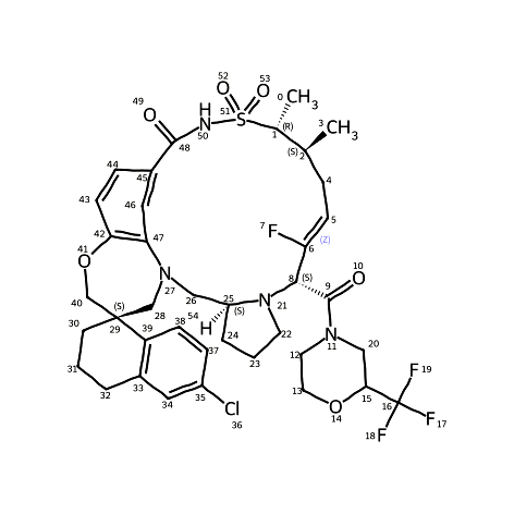 C[C@@H]1[C@@H](C)C/C=C(\F)[C@H](C(=O)N2CCOC(C(F)(F)F)C2)N2CCC[C@H]2CN2C[C@@]3(CCCc4cc(Cl)ccc43)COc3ccc(cc32)C(=O)NS1(=O)=O